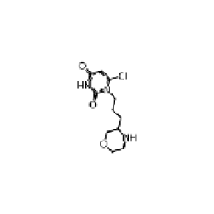 O=c1cc(Cl)n(CCCC2COCCN2)c(=O)[nH]1